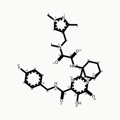 Cc1nn(C)cc1CN(C)C(=O)C(=O)NC12CCC(CC1)Cn1c2nc(C(=O)NCc2ccc(F)cc2)c(O)c1=O